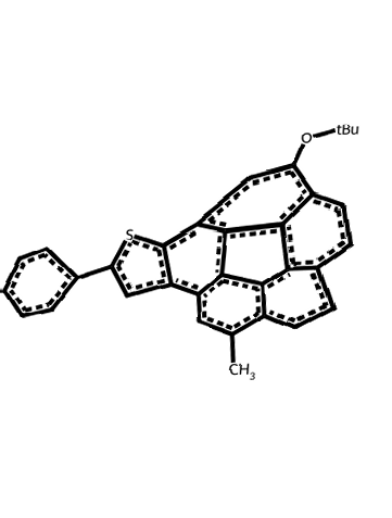 Cc1cc2c3cc(-c4ccccc4)sc3c3cc(OC(C)(C)C)c4ccc5ccc1c1c5c4c3c21